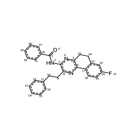 O=C(Nc1nc2c(nc1CCc1ccccc1)-c1ccc(F)cc1CC2)c1ccccc1